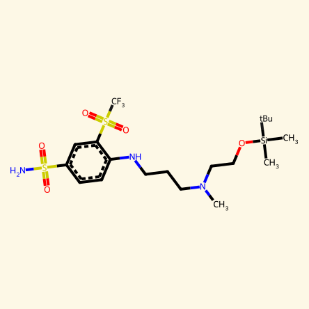 CN(CCCNc1ccc(S(N)(=O)=O)cc1S(=O)(=O)C(F)(F)F)CCO[Si](C)(C)C(C)(C)C